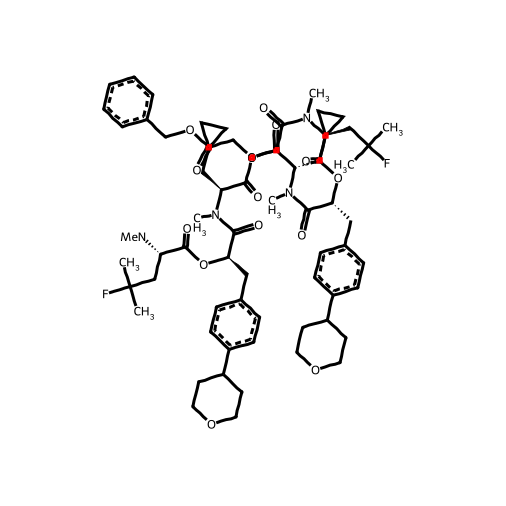 CN[C@@H](CC(C)(C)F)C(=O)O[C@H](Cc1ccc(C2CCOCC2)cc1)C(=O)N(C)[C@@H](CC1CC1)C(=O)OCC(=O)N(C)[C@@H](CC(C)(C)F)C(=O)O[C@H](Cc1ccc(C2CCOCC2)cc1)C(=O)N(C)[C@@H](CC1CC1)C(=O)OCC(=O)OCc1ccccc1